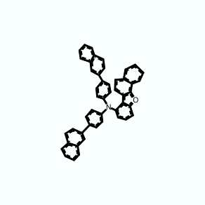 c1ccc2cc(-c3ccc(N(c4ccc(-c5ccc6ccccc6c5)cc4)c4cccc5oc6c7ccccc7ccc6c45)cc3)ccc2c1